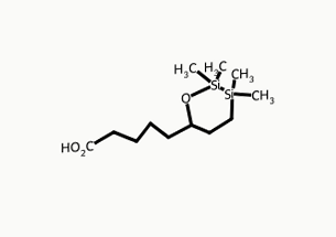 C[Si]1(C)CCC(CCCCC(=O)O)O[Si]1(C)C